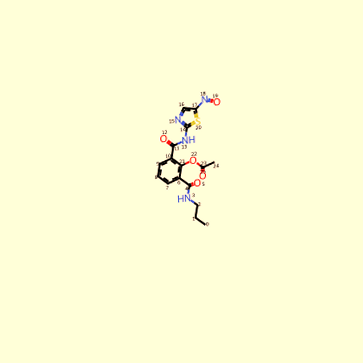 CCCNC(=O)c1cccc(C(=O)Nc2ncc(N=O)s2)c1OC(C)=O